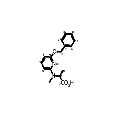 CC(C(=O)O)N(C)c1cccc(OCc2ccccc2)n1